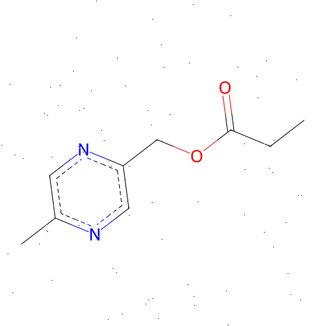 CCC(=O)OCc1cnc(C)cn1